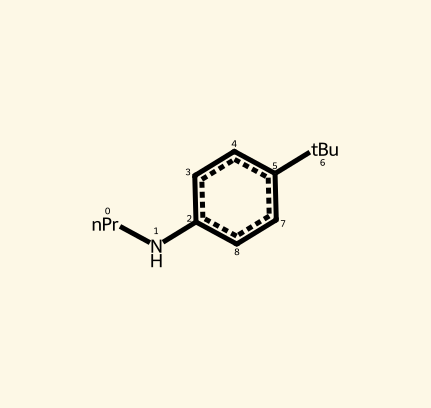 CCCNc1ccc(C(C)(C)C)cc1